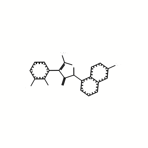 CCCc1cccc(C2=C(NC)SC(c3cccc4cc([N+](=O)[O-])ccc34)C2=O)c1Cl